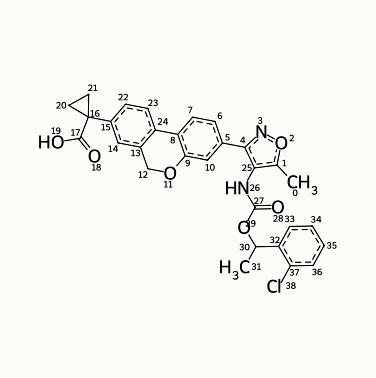 Cc1onc(-c2ccc3c(c2)OCc2cc(C4(C(=O)O)CC4)ccc2-3)c1NC(=O)OC(C)c1ccccc1Cl